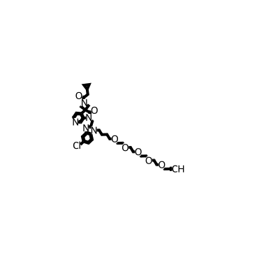 C#CCOCCOCCOCCOCCOCCCCn1c(CN2C(=O)C3(CN(C(=O)CC4CC4)C3)c3ccncc32)nc2cc(Cl)ccc21